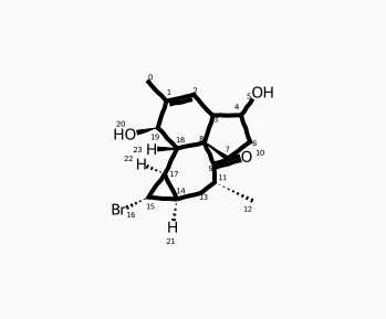 CC1=CC2C(O)CC[C@]23C(=O)[C@H](C)C[C@H]2[C@H](Br)[C@H]2[C@@H]3[C@H]1O